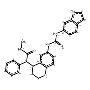 CNC(=O)C(c1ccccc1)N1CCOc2ccc(NC(=O)Nc3ccc4cc[nH]c4c3)cc21